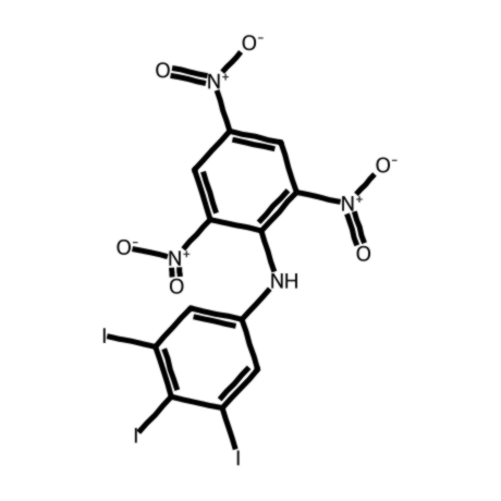 O=[N+]([O-])c1cc([N+](=O)[O-])c(Nc2cc(I)c(I)c(I)c2)c([N+](=O)[O-])c1